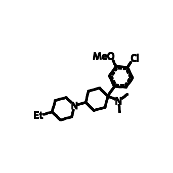 CCC1CCN(C2CCC(c3ccc(Cl)c(OC)c3)(N(C)C)CC2)CC1